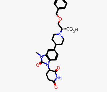 Cn1c(=O)n(C2CCC(=O)NC2=O)c2ccc(C3CCN([C@@H](COCc4ccccc4)C(=O)O)CC3)cc21